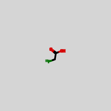 O=C(O)C[18F]